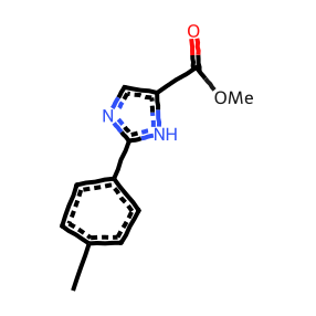 COC(=O)c1cnc(-c2ccc(C)cc2)[nH]1